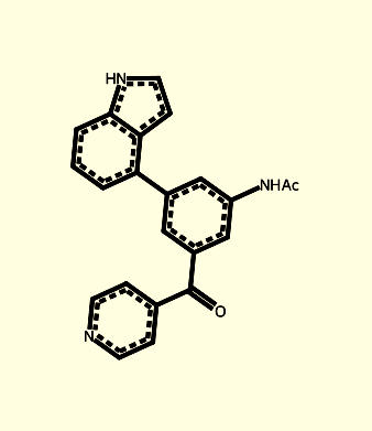 CC(=O)Nc1cc(C(=O)c2ccncc2)cc(-c2cccc3[nH]ccc23)c1